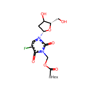 CCCCCCC(=O)OCn1c(=O)c(F)cn([C@@H]2CC(O)[C@H](CO)O2)c1=O